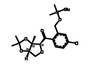 CC1(C)O[C@H]2CO[C@H](C(=O)c3ccc(Cl)cc3CO[Si](C)(C)C(C)(C)C)[C@@]2(C)O1